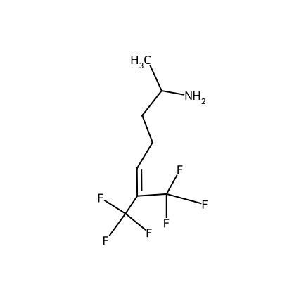 CC(N)CCC=C(C(F)(F)F)C(F)(F)F